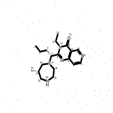 CCC[C@H](c1nc2ccncc2c(=O)n1CC)N1CCNC[C@H](C)C1